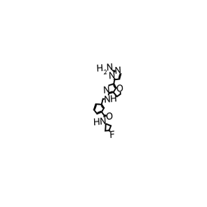 Nc1nccc(-c2cnc(NCc3cccc(C(=O)NC4CC(F)C4)c3)c3c2OCC3)n1